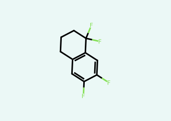 Fc1cc2c(cc1F)C(F)(F)CCC2